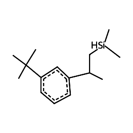 CC(C[SiH](C)C)c1cccc(C(C)(C)C)c1